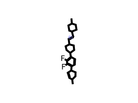 CC1C=CC(c2ccc(C3CCC(/C=C/C4CCC(C)CC4)CC3)c(F)c2F)CC1